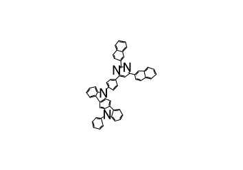 c1ccc(-n2c3ccccc3c3cc4c(cc32)c2ccccc2n4-c2ccc(-c3cc(-c4ccc5ccccc5c4)nc(-c4ccc5ccccc5c4)n3)cc2)cc1